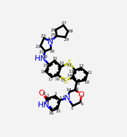 O=c1cc(N2CCOC(c3cccc4c3Sc3ccc(NC5CCN(C6CCCC6)C5)cc3S4)C2)cc[nH]1